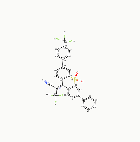 N#C/C(=C1/c2ccc(-c3ccccc3)cc2S(=O)(=O)c2cc(-c3ccc(C(F)(F)F)cc3)ccc21)C(F)(F)F